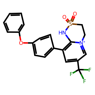 O=S1(=O)CC[n+]2cc(C(F)(F)F)cc(-c3ccc(Oc4ccccc4)cc3)c2N1